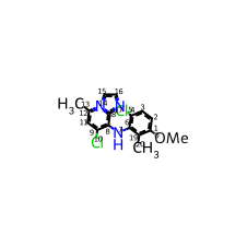 COc1ccc(Cl)c(Nc2c(Cl)cc(C)n3ccnc23)c1C